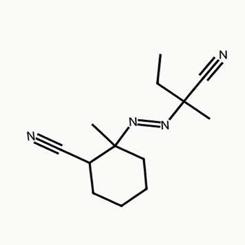 CCC(C)(C#N)N=NC1(C)CCCCC1C#N